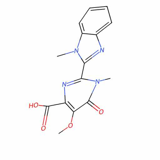 COc1c(C(=O)O)nc(-c2nc3ccccc3n2C)n(C)c1=O